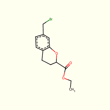 CCOC(=O)C1CCc2ccc(CBr)cc2O1